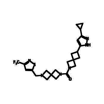 O=C(N1CC2(CC(c3cc(C4CC4)n[nH]3)C2)C1)N1CC2(CN(Cc3cc(C(F)(F)F)ns3)C2)C1